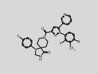 O=C(c1cc(-c2cccnc2)n(-c2ccc(F)c(C(F)(F)F)c2F)n1)N1CCC2(CC1)C(=O)NCN2c1ccc(F)cc1